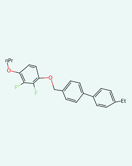 CCCOc1ccc(OCc2ccc(-c3ccc(CC)cc3)cc2)c(F)c1F